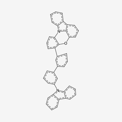 c1cc(-c2cccc(-n3c4ccccc4c4ccccc43)c2)cc(-c2cccc3c2Oc2cccc4c5ccccc5n-3c24)c1